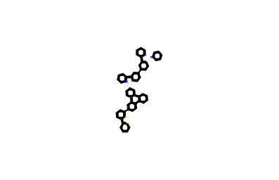 c1ccc(-n2c3ccccc3c3cc(-c4ccc5c(c4)c4ccccc4n5-c4ccc5c6cc(-c7cccc8c7sc7ccccc78)ccc6c6ccccc6c5c4)ccc32)cc1